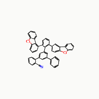 N#Cc1ccccc1-c1cc(-c2ccccc2)cc(-c2c(-c3ccc4oc5ccccc5c4c3)cccc2-c2cccc3oc4ccccc4c23)c1